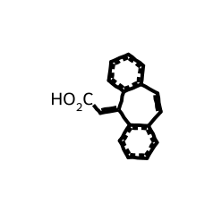 O=C(O)C=C1c2ccccc2C=Cc2ccccc21